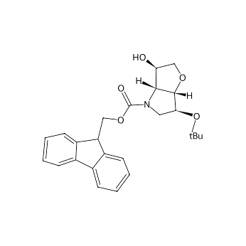 CC(C)(C)O[C@H]1CN(C(=O)OCC2c3ccccc3-c3ccccc32)[C@H]2[C@@H]1OC[C@@H]2O